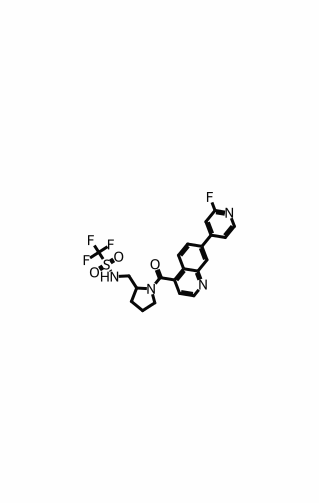 O=C(c1ccnc2cc(-c3ccnc(F)c3)ccc12)N1CCCC1CNS(=O)(=O)C(F)(F)F